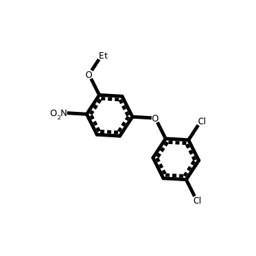 CCOc1cc(Oc2ccc(Cl)cc2Cl)ccc1[N+](=O)[O-]